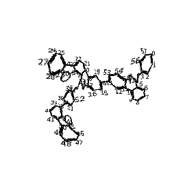 c1ccc(-n2c3ccccc3c3cc(-c4ccc5c(c4)c4ccc6c7ccccc7oc6c4n5-c4ccc(-c5cccc6c5oc5ccccc56)cc4)ccc32)cc1